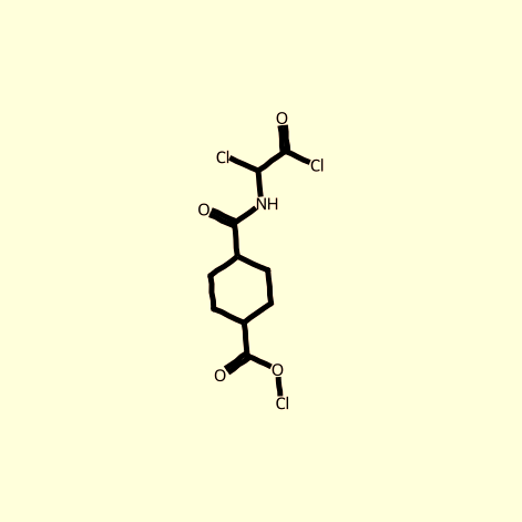 O=C(NC(Cl)C(=O)Cl)C1CCC(C(=O)OCl)CC1